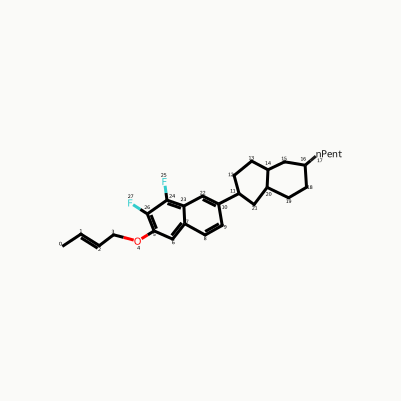 C/C=C/COc1cc2ccc(C3CCC4CC(CCCCC)CCC4C3)cc2c(F)c1F